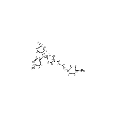 CC(C)(C)c1ccc(OCCCN2CCC(=C(c3ccc(F)cc3)c3ccc(F)cc3)CC2)cc1